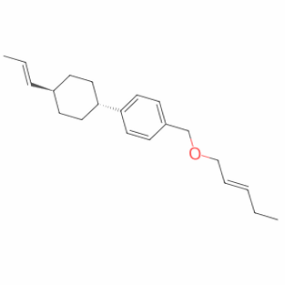 CC=C[C@H]1CC[C@H](c2ccc(COCC=CCC)cc2)CC1